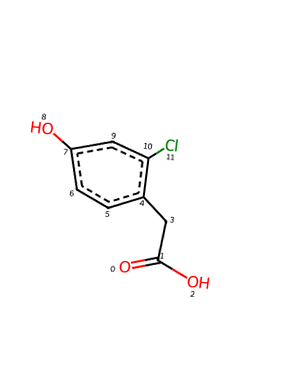 O=C(O)Cc1ccc(O)cc1Cl